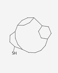 SC1CCC2CCC1CCCCC1CCC(CC1)C1CCC2CC1